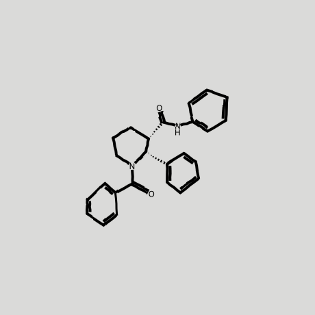 O=C(Nc1ccccc1)[C@H]1CCCN(C(=O)c2ccccc2)[C@H]1c1ccccc1